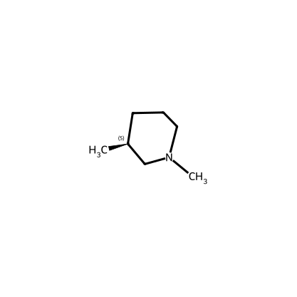 C[C@H]1CCCN(C)C1